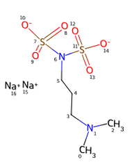 CN(C)CCCN(S(=O)(=O)[O-])S(=O)(=O)[O-].[Na+].[Na+]